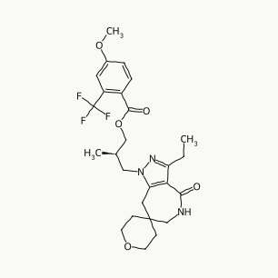 CCc1nn(C[C@@H](C)COC(=O)c2ccc(OC)cc2C(F)(F)F)c2c1C(=O)NCC1(CCOCC1)C2